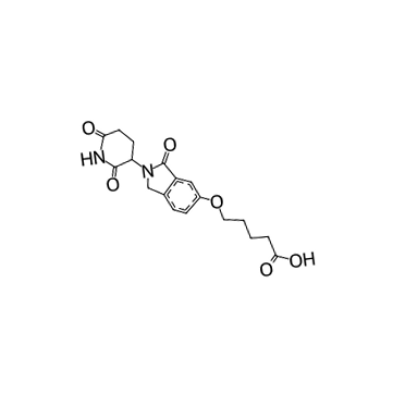 O=C(O)CCCCOc1ccc2c(c1)C(=O)N(C1CCC(=O)NC1=O)C2